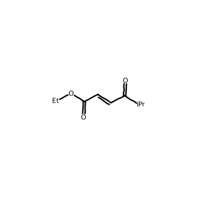 CCOC(=O)C=CC(=O)C(C)C